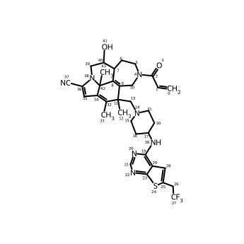 C=CC(=O)N1CCC2C3=C(C1)C(C)(CN1CCC(Nc4ncnc5sc(CC(F)(F)F)cc45)CC1)C(C)=C1C=C(C#N)N(CC2O)C13C